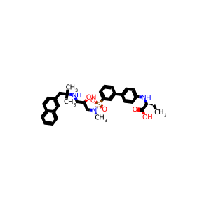 CC[C@@H](Nc1ccc(-c2cccc(S(=O)(=O)N(C)CC(O)CNC(C)(C)Cc3ccc4ccccc4c3)c2)cc1)C(=O)O